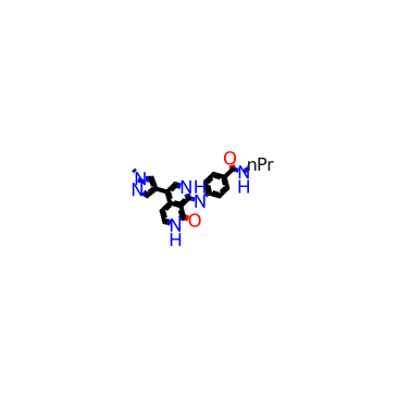 CCCNC(=O)c1ccc(Nc2ncc(-c3cnn(C)c3)c3cc[nH]c(=O)c23)cc1